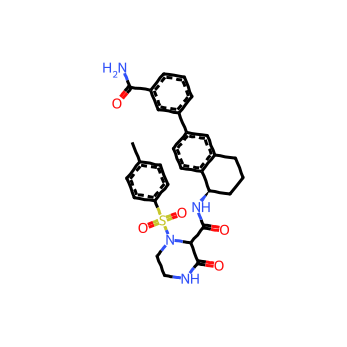 Cc1ccc(S(=O)(=O)N2CCNC(=O)C2C(=O)N[C@@H]2CCCc3cc(-c4cccc(C(N)=O)c4)ccc32)cc1